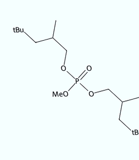 COP(=O)(OCC(C)CC(C)(C)C)OCC(C)CC(C)(C)C